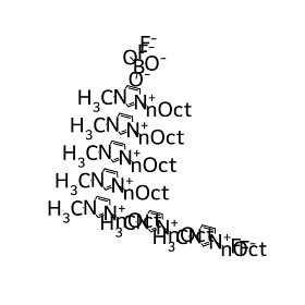 CCCCCCCC[n+]1ccn(C)c1.CCCCCCCC[n+]1ccn(C)c1.CCCCCCCC[n+]1ccn(C)c1.CCCCCCCC[n+]1ccn(C)c1.CCCCCCCC[n+]1ccn(C)c1.CCCCCCCC[n+]1ccn(C)c1.CCCCCCCC[n+]1ccn(C)c1.[F-].[F-].[F-].[F-].[O-]B([O-])[O-]